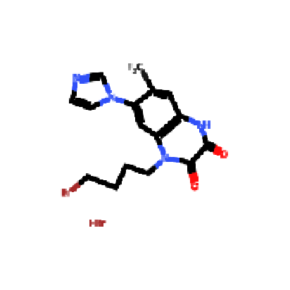 Br.O=c1[nH]c2cc(C(F)(F)F)c(-n3ccnc3)cc2n(CCCCBr)c1=O